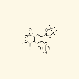 [2H]C([2H])([2H])Oc1cc(C(=O)OC)c([N+](=O)[O-])cc1B1OC(C)(C)C(C)(C)O1